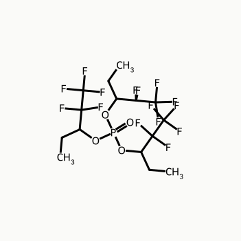 CCC(OP(=O)(OC(CC)C(F)(F)C(F)(F)F)OC(CC)C(F)(F)C(F)(F)F)C(F)(F)C(F)(F)F